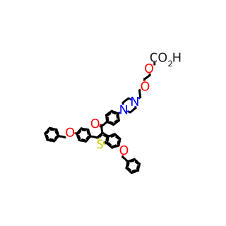 O=C(O)COCCOCCN1CCN(c2ccc(C(=O)c3c(-c4ccc(OCc5ccccc5)cc4)sc4cc(OCc5ccccc5)ccc34)cc2)CC1